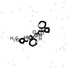 COc1ccc(CN2NCC(NC(=O)C3C[C@@](c4ccccc4)(C4CCCCCCCC4)ON3)C23CCCCCCCC3)cc1